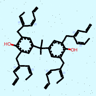 C=C/C=C\C(=C/C)Cc1cc(C(C)(C)c2cc(CC(/C=C\C=C)=C/C)c(O)c(CC(/C=C\C)=C/C=C)c2)cc(CC(/C=C\C)=C/C=C)c1O